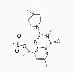 Cc1cc(C(C)OS(C)(=O)=O)c2nc(N3CCC(C)(C)CC3)n(C)c(=O)c2c1